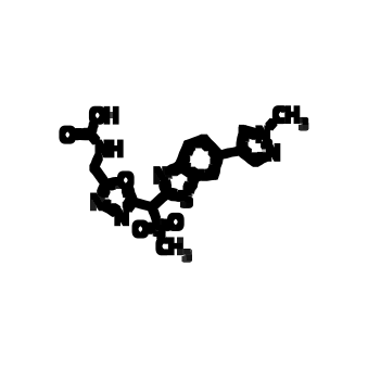 Cn1cc(-c2ccc3nc(C(c4nnc(CNC(=O)O)o4)S(C)(=O)=O)sc3c2)cn1